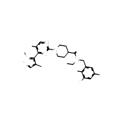 CCN(Cc1cc(F)cc(F)c1F)C(=O)C1CCN(c2ncc(F)c(-c3c(C)cnn3C)n2)CC1